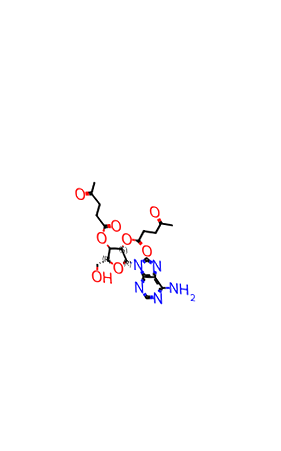 CC(=O)CCC(=O)OC1[C@@H](CO)O[C@@H](n2cnc3c(N)ncnc32)[C@H]1OC(=O)CCC(C)=O